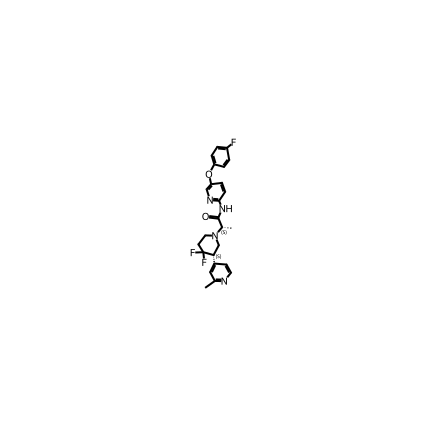 Cc1cc([C@H]2CN([C@@H](C)C(=O)Nc3ccc(Oc4ccc(F)cc4)cn3)CCC2(F)F)ccn1